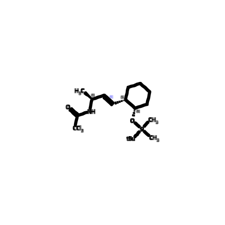 C[C@@H](/C=C/[C@@H]1CCCC[C@@H]1O[Si](C)(C)C(C)(C)C)NC(=O)C(Cl)(Cl)Cl